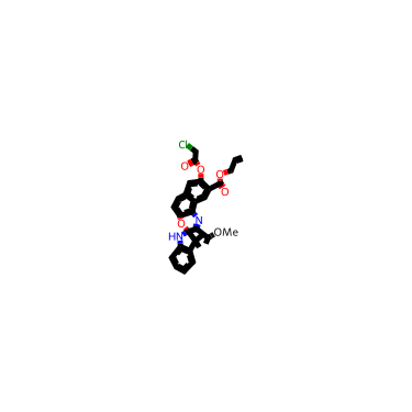 C=CCOC(=O)c1cc2c3c(ccc2cc1OC(=O)CCl)OC1(Nc2ccccc2C1(C)C)C(C(C)OC)=N3